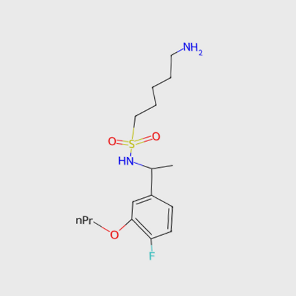 CCCOc1cc(C(C)NS(=O)(=O)CCCCCN)ccc1F